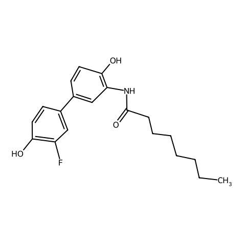 CCCCCCCC(=O)Nc1cc(-c2ccc(O)c(F)c2)ccc1O